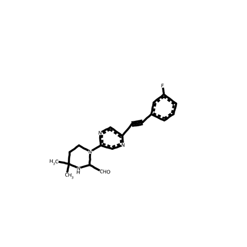 CC1(C)CCN(c2cnc(C#Cc3cccc(F)c3)cn2)C(C=O)N1